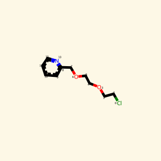 ClCCOCCOCc1ccccn1